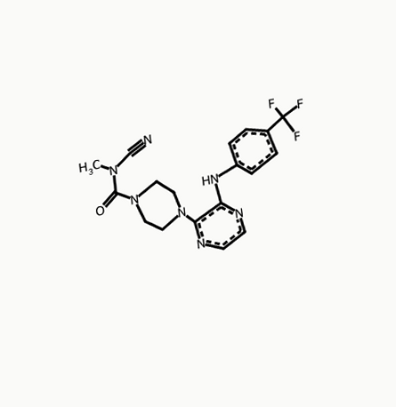 CN(C#N)C(=O)N1CCN(c2nccnc2Nc2ccc(C(F)(F)F)cc2)CC1